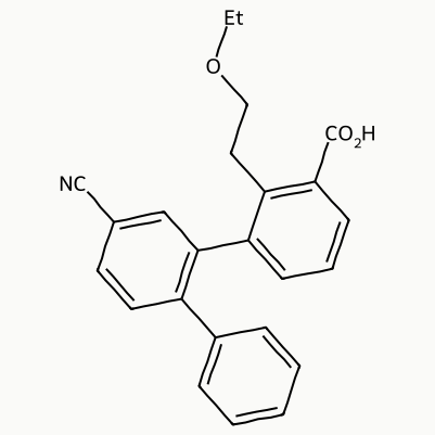 CCOCCc1c(C(=O)O)cccc1-c1cc(C#N)ccc1-c1ccccc1